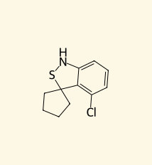 Clc1cccc2c1C1(CCCC1)SN2